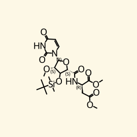 COC(=O)C[C@@H](NC(=O)[C@H]1O[C@@H](n2ccc(=O)[nH]c2=O)[C@@H](OC)C1O[Si](C)(C)C(C)(C)C)C(=O)OC